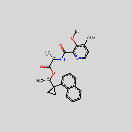 CCOc1c(OC)ccnc1C(=O)N[C@@H](C)C(=O)O[C@@H](C)C1(c2cccc3ccccc23)CC1